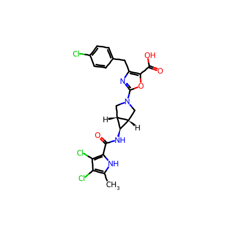 Cc1[nH]c(C(=O)N[C@H]2[C@@H]3CN(c4nc(Cc5ccc(Cl)cc5)c(C(=O)O)o4)C[C@@H]32)c(Cl)c1Cl